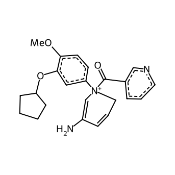 COc1ccc([N+]2(C(=O)c3cccnc3)C=C(N)C=CC2)cc1OC1CCCC1